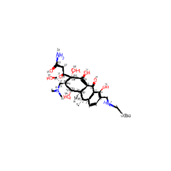 C[C@H]1c2ccc(CNCC(C)(C)C)c(O)c2C(=O)C2=C(O)[C@](O)(C(=O)CC(N)=O)[C@H]([C@@H](CO)N(C)C)[C@@H](O)[C@@H]21